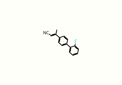 CC(=CC#N)c1ccc(-c2ccccc2F)cc1